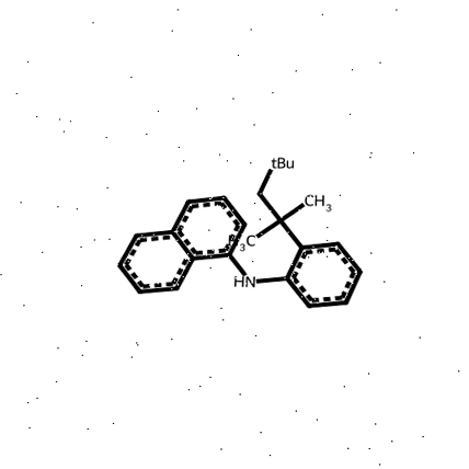 CC(C)(C)CC(C)(C)c1ccccc1Nc1cccc2ccccc12